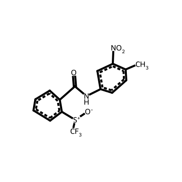 Cc1ccc(NC(=O)c2ccccc2[S+]([O-])C(F)(F)F)cc1[N+](=O)[O-]